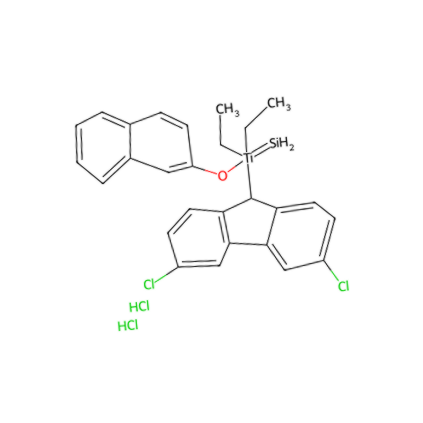 C[CH2][Ti](=[SiH2])([CH2]C)([O]c1ccc2ccccc2c1)[CH]1c2ccc(Cl)cc2-c2cc(Cl)ccc21.Cl.Cl